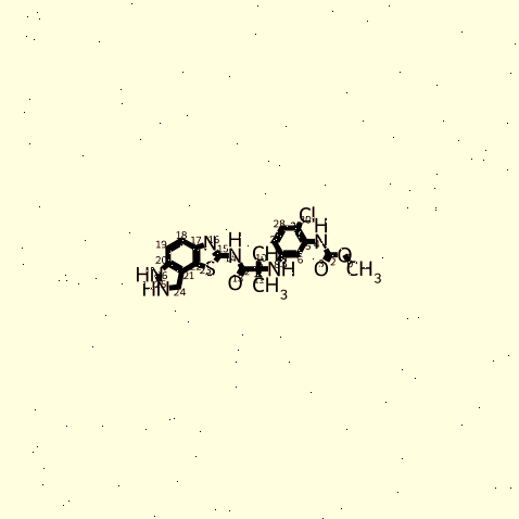 COC(=O)Nc1cc(NC(C)(C)C(=O)Nc2nc3ccc4c(c3s2)CNN4)ccc1Cl